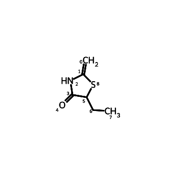 C=C1NC(=O)C(CC)S1